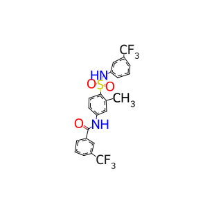 Cc1cc(NC(=O)c2cccc(C(F)(F)F)c2)ccc1S(=O)(=O)Nc1cccc(C(F)(F)F)c1